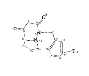 O=C1CC(=O)N(Cc2cccc(F)c2)N2CCCC12